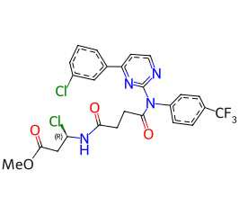 COC(=O)C[C@@H](Cl)NC(=O)CCC(=O)N(c1ccc(C(F)(F)F)cc1)c1nccc(-c2cccc(Cl)c2)n1